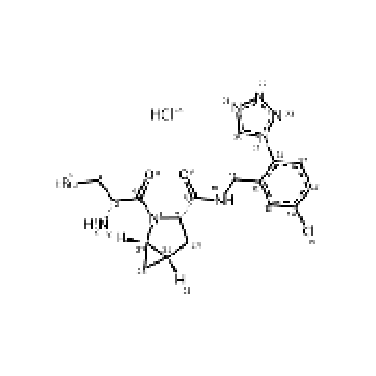 CC(C)(C)C[C@@H](N)C(=O)N1[C@H](C(=O)NCc2cc(Cl)ccc2-n2cnnn2)C[C@@H]2C[C@@H]21.Cl